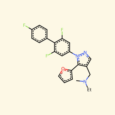 CCN(C)Cc1cnn(-c2cc(F)c(-c3ccc(F)cc3)c(F)c2)c1-c1ccco1